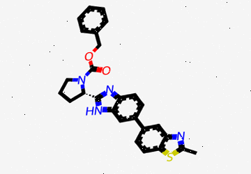 Cc1nc2cc(-c3ccc4nc([C@@H]5CCCN5C(=O)OCc5ccccc5)[nH]c4c3)ccc2s1